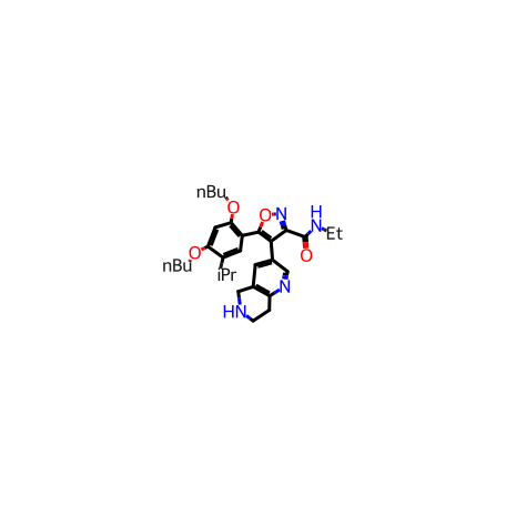 CCCCOc1cc(OCCCC)c(C(C)C)cc1-c1onc(C(=O)NCC)c1-c1cnc2c(c1)CNCC2